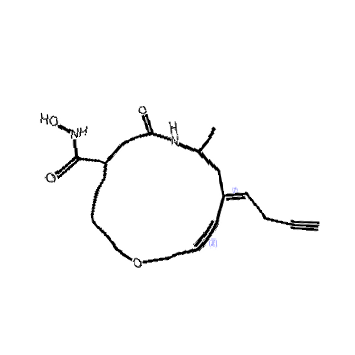 C#CC/C=C1\C=C/COCCCC(C(=O)NO)CC(=O)NC(C)C1